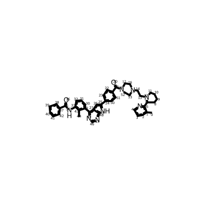 Cc1cccnc1C1CCCCN1CCN1CCN(C(=O)c2ccc(-c3cc4c(-c5cccc(NC(=O)c6ccccc6)c5C)ncnc4[nH]3)cc2)CC1